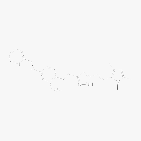 COc1cc(OCc2ccccn2)ccc1/C=C/c1cc(/C=C/c2c(C)cc(C)n2C)[nH]n1